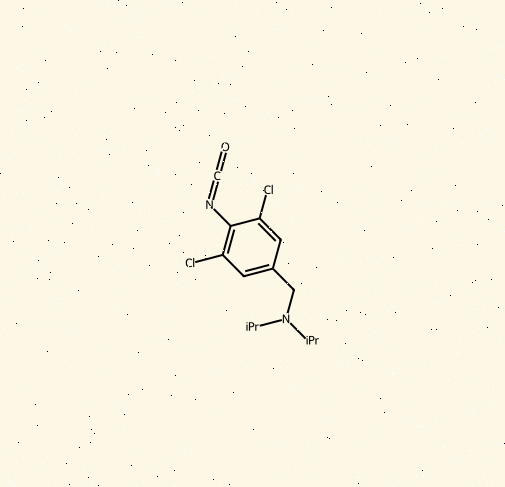 CC(C)N(Cc1cc(Cl)c(N=C=O)c(Cl)c1)C(C)C